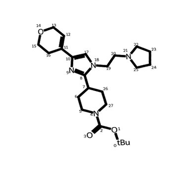 CC(C)(C)OC(=O)N1CCC(c2nc(C3=CCOCC3)cn2CCN2CCCC2)CC1